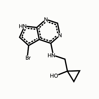 OC1(CNc2ncnc3[nH]cc(Br)c23)CC1